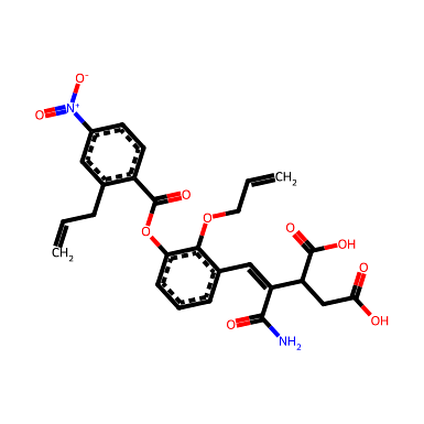 C=CCOc1c(C=C(C(N)=O)C(CC(=O)O)C(=O)O)cccc1OC(=O)c1ccc([N+](=O)[O-])cc1CC=C